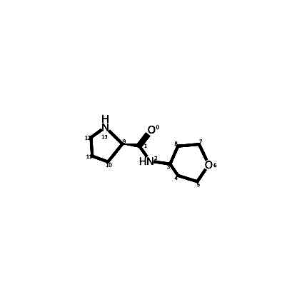 O=C(NC1CCOCC1)[C@H]1CCCN1